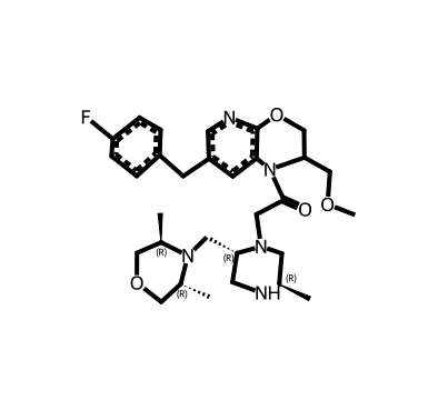 COCC1COc2ncc(Cc3ccc(F)cc3)cc2N1C(=O)CN1C[C@@H](C)NC[C@@H]1CN1[C@H](C)COC[C@H]1C